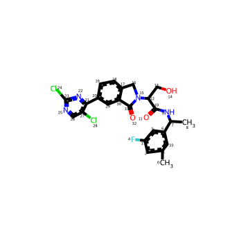 Cc1cc(F)cc(C(C)NC(=O)C(CO)N2Cc3ccc(-c4nc(Cl)ncc4Cl)cc3C2=O)c1